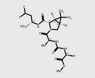 CC(C)[C@H](NC(=O)N[C@H](C(=O)N1C[C@H]2[C@@H]([C@H]1C(=O)N[C@@H](CC(F)F)C(=O)O)C2(C)C)C(C)(C)C)C(=O)OC(C)(C)C